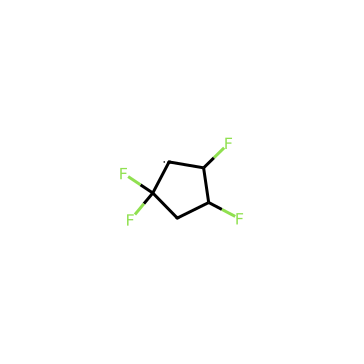 FC1[CH]C(F)(F)CC1F